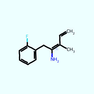 C=C/C(C)=C(/N)Cc1ccccc1F